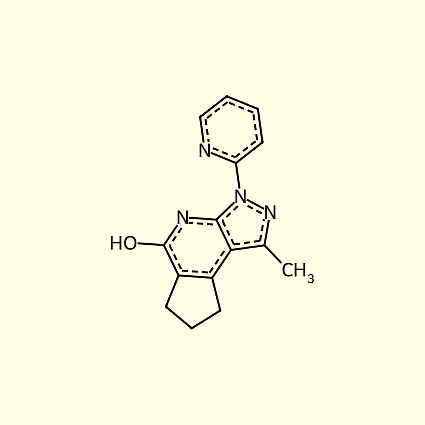 Cc1nn(-c2ccccn2)c2nc(O)c3c(c12)CCC3